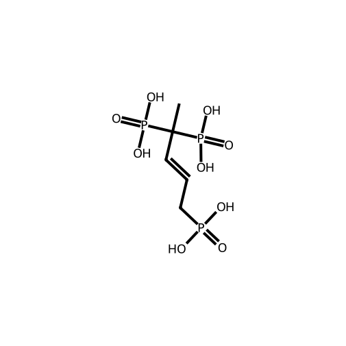 CC(C=CCP(=O)(O)O)(P(=O)(O)O)P(=O)(O)O